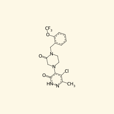 Cc1n[nH]c(=O)c(N2CCN(Cc3ccccc3OC(F)(F)F)C(=O)C2)c1Cl